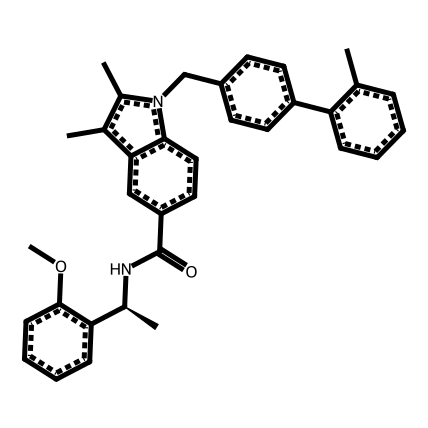 COc1ccccc1[C@H](C)NC(=O)c1ccc2c(c1)c(C)c(C)n2Cc1ccc(-c2ccccc2C)cc1